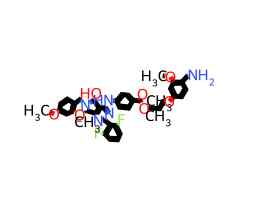 COc1ccc(CN2Cc3nc(-c4c(F)cccc4F)nc(Nc4ccc(C(=O)OC(C)(C)CCOc5ccc(CN)c(OC)c5)cc4)c3C2O)c(OC)c1